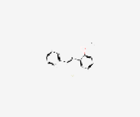 N#COc1ccccc1C=Cc1ccccc1.S